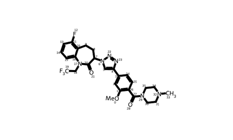 COc1cc(-c2cn(C3CCc4c(F)cccc4N(CC(F)(F)F)C3=O)nn2)ccc1C(=O)N1CCN(C)CC1